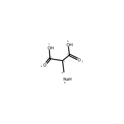 CC(C(=O)O)C(=O)O.[NaH]